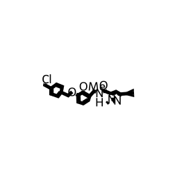 COc1c(CNC(=O)c2cc(C3CC3)nn2C)cccc1OCc1ccc(CCl)cc1